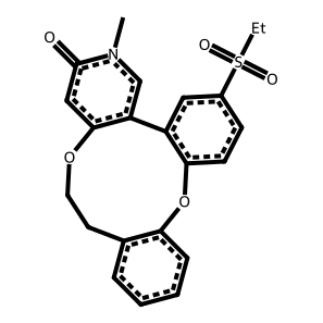 CCS(=O)(=O)c1ccc2c(c1)-c1cn(C)c(=O)cc1OCCc1ccccc1O2